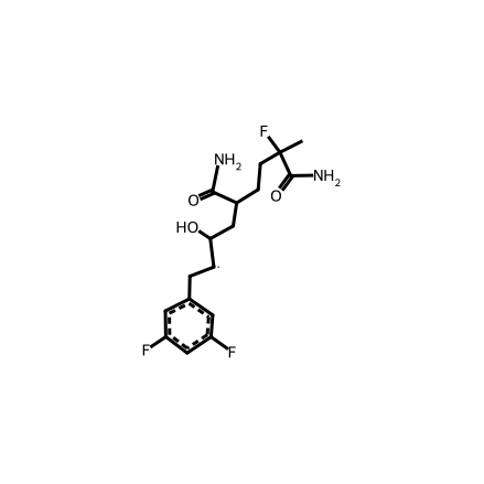 CC(F)(CCC(CC(O)[CH]Cc1cc(F)cc(F)c1)C(N)=O)C(N)=O